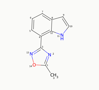 Cc1nc(-c2cccc3cc[nH]c23)no1